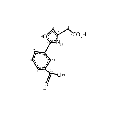 O=C(O)Cc1coc(-c2cccc(C(=O)Cl)c2)n1